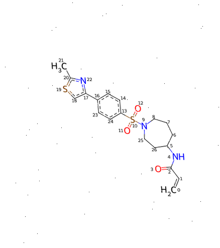 C=CC(=O)NC1CCCN(S(=O)(=O)c2ccc(-c3csc(C)n3)cc2)CC1